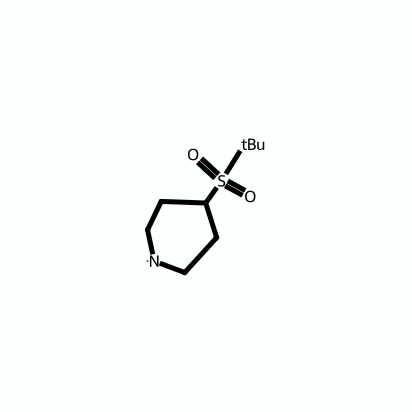 CC(C)(C)S(=O)(=O)C1CC[N]CC1